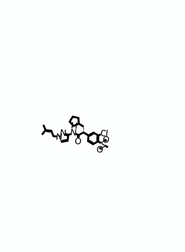 CC(C)=CCn1ccc(NC(=O)[C@H](CC2CCCC2)c2ccc(S(C)(=O)=O)c(Cl)c2)n1